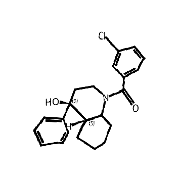 O=C(c1cccc(Cl)c1)N1CC[C@@](O)(c2ccccc2)[C@H]2CCCCC21